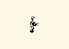 OCCn1cnc2c(NCc3ccco3)cc(Cl)nc21